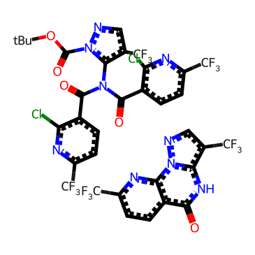 CC(C)(C)OC(=O)n1ncc(C(F)(F)F)c1N(C(=O)c1ccc(C(F)(F)F)nc1Cl)C(=O)c1ccc(C(F)(F)F)nc1Cl.O=c1[nH]c2c(C(F)(F)F)cnn2c2nc(C(F)(F)F)ccc12